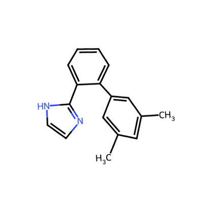 Cc1cc(C)cc(-c2ccccc2-c2ncc[nH]2)c1